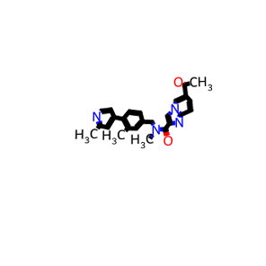 CC(=O)c1ccc2nc(C(=O)N(C)Cc3ccc(-c4ccnc(C)c4)c(C)c3)cn2c1